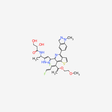 C=C(OCCOC)/C(=C(F)\C=C\F)c1c(-c2cc([C@@H](C)NC(=O)[C@@H](O)CO)[nH]n2)nc(-c2ccc3c(cnn3C)c2)c2ccsc12